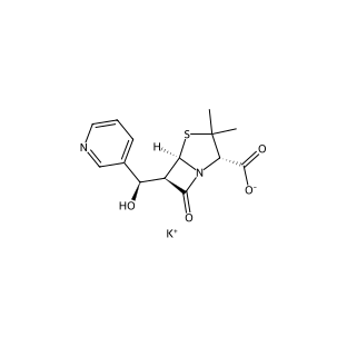 CC1(C)S[C@@H]2[C@H]([C@@H](O)c3cccnc3)C(=O)N2[C@H]1C(=O)[O-].[K+]